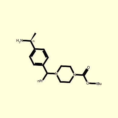 CCCC(c1ccc([C@H](C)N)cc1)N1CCN(C(=O)OC(C)(C)C)CC1